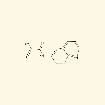 CC(C)C(=O)C(=O)Nc1ccc2ncccc2c1